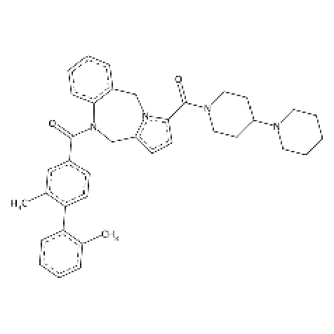 Cc1ccccc1-c1ccc(C(=O)N2Cc3ccc(C(=O)N4CCC(N5CCCCC5)CC4)n3Cc3ccccc32)cc1C